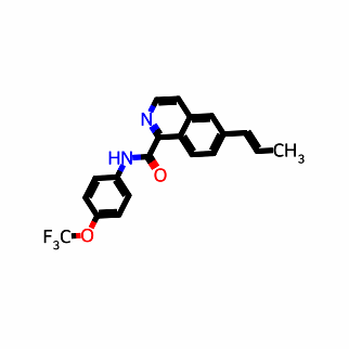 C/C=C/c1ccc2c(C(=O)Nc3ccc(OC(F)(F)F)cc3)nccc2c1